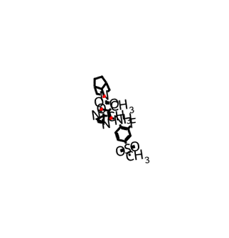 Cc1c(Nc2ccc(S(C)(=O)=O)cc2F)ncnc1OCC1C2CCC1CN(C(=O)OC1(C)CC1)C2